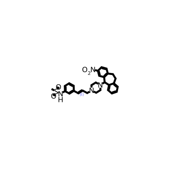 CS(=O)(=O)Nc1cccc(/C=C/CN2CCN(C3c4ccccc4CCc4ccc([N+](=O)[O-])cc43)CC2)c1